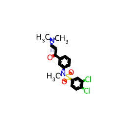 CN(C)/C=C/C(=O)c1cccc(N(C)S(=O)(=O)c2ccc(Cl)c(Cl)c2)c1